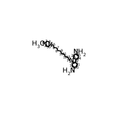 CN1CCN(CCCCCCCCCCn2c3cc(N)ccc3c3ccc(N)cc32)CC1